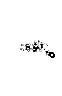 CC(C)[C@H](CSc1nc2ccccc2s1)Nc1nc(Cl)nc2c1ncn2[C@@H]1O[C@H](CO)C(O)C1O